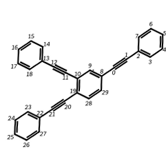 C(#Cc1ccccc1)c1[c]c(C#Cc2ccccc2)c(C#Cc2ccccc2)cc1